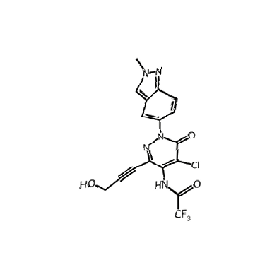 Cn1cc2cc(-n3nc(C#CCO)c(NC(=O)C(F)(F)F)c(Cl)c3=O)ccc2n1